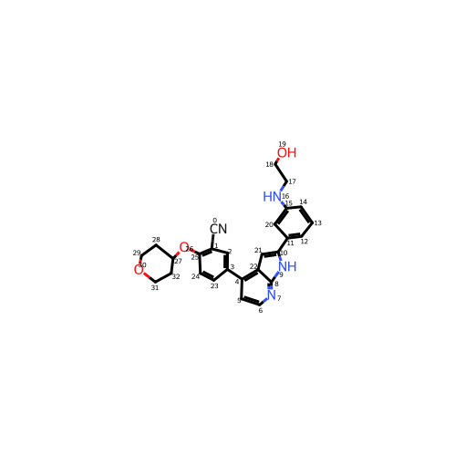 N#Cc1cc(-c2ccnc3[nH]c(-c4cccc(NCCO)c4)cc23)ccc1OC1CCOCC1